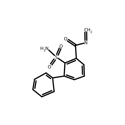 C=NC(=O)c1cccc(-c2ccccc2)c1S(N)(=O)=O